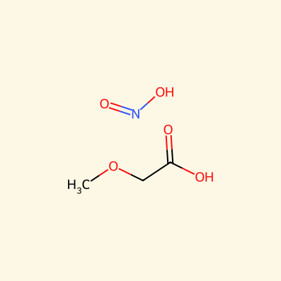 COCC(=O)O.O=NO